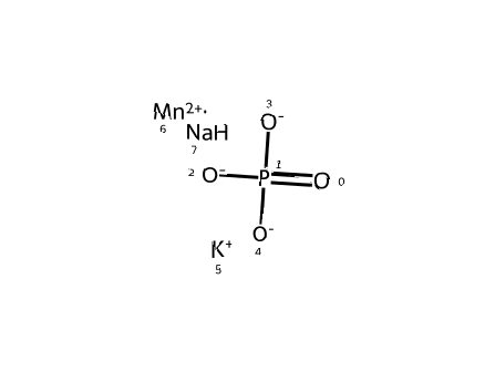 O=P([O-])([O-])[O-].[K+].[Mn+2].[NaH]